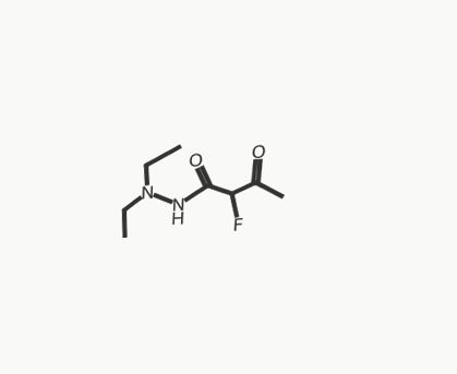 CCN(CC)NC(=O)C(F)C(C)=O